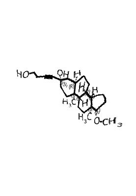 CO[C@H]1CC[C@H]2[C@@H]3CC[C@@H]4C[C@](O)(C#CCCO)CC[C@]4(C)[C@H]3CC[C@]12C